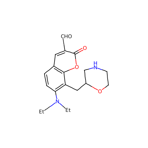 CCN(CC)c1ccc2cc(C=O)c(=O)oc2c1CC1CNCCO1